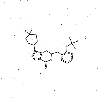 O=C1NC(Cc2ccccc2OC(F)(F)F)Nc2c1cnn2C1CCC(F)(F)CC1